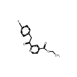 CCOC(=O)c1ccnc(C(=O)Cc2ccc(F)cc2)c1